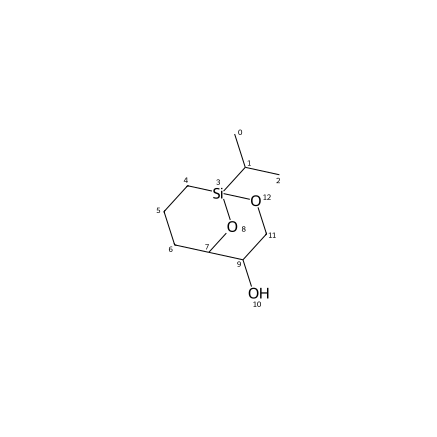 CC(C)[Si]12CCCC(O1)C(O)CO2